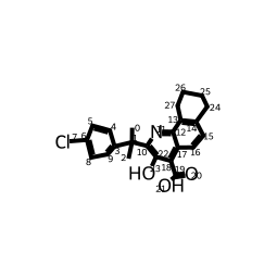 CC(C)(c1ccc(Cl)cc1)c1nc2c3c(ccc2c(C(=O)O)c1O)CCCC3